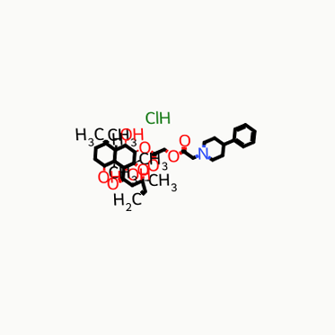 C=C[C@@]1(C)CC(=O)[C@]2(O)[C@@]3(C)[C@@H](O)CCC(C)(C)[C@@H]3[C@H](O)[C@H](OC(=O)COC(=O)CN3CCC(c4ccccc4)CC3)[C@@]2(C)O1.Cl